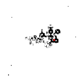 COC(=O)c1cnn2c(N(Cc3ccccc3)Cc3ccccc3)c(-c3ccc(C(F)(F)F)cc3)c(NCc3cc(F)cnc3OC(C)CNC(=O)OC(C)(C)C)nc12